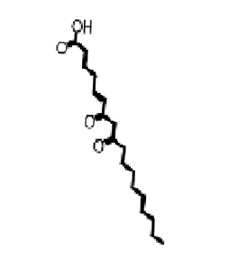 CCCCCCCCCC(=O)CC(=O)C=CCCCC(=O)O